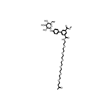 COC(=O)c1cc(C(=O)NCCOCCOCCOCCOCCOCCOCCC(C)=O)cc(-c2ccc(O[C@H]3O[C@H](CF)[C@@H](O)[C@H](O)[C@@H]3O)cc2)c1